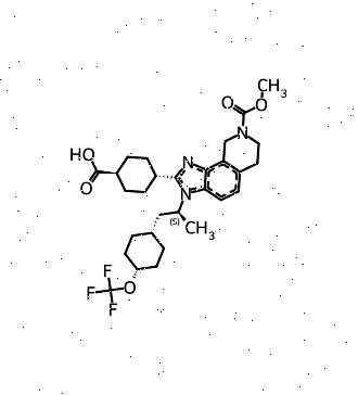 COC(=O)N1CCc2ccc3c(nc([C@H]4CC[C@H](C(=O)O)CC4)n3[C@@H](C)C[C@H]3CC[C@@H](OC(F)(F)F)CC3)c2C1